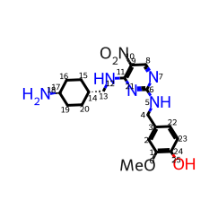 COc1cc(CNc2ncc([N+](=O)[O-])c(NC[C@H]3CC[C@H](N)CC3)n2)ccc1O